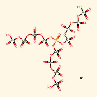 O=P([O][Mo](=[O])(=[O])[O][Mo](=[O])(=[O])[O][Mo](=[O])(=[O])[O][Mo](=[O])(=[O])[OH])([O][Mo](=[O])(=[O])[O][Mo](=[O])(=[O])[O][Mo](=[O])(=[O])[O][Mo](=[O])(=[O])[OH])[O][Mo](=[O])(=[O])[O][Mo](=[O])(=[O])[O][Mo](=[O])(=[O])[O][Mo](=[O])(=[O])[OH].[K+]